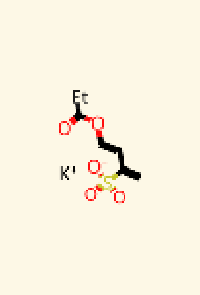 C=C(C=COC(=O)CC)S(=O)(=O)[O-].[K+]